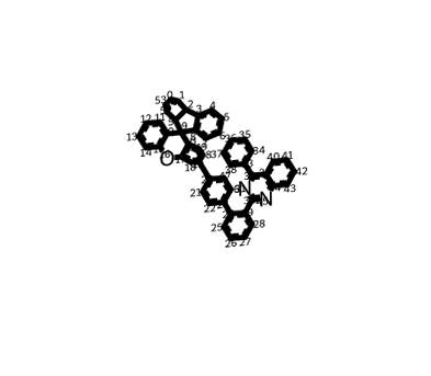 C1=CC2c3ccccc3C3(c4ccccc4Oc4cc(-c5ccc(-c6ccccc6-c6nc(-c7ccccc7)c7ccccc7n6)cc5)ccc43)C2C=C1